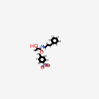 CC(O)C(N=CC=Cc1ccccc1)OCc1ccc([N+](=O)[O-])cc1